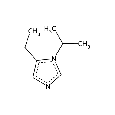 CCc1cncn1C(C)C